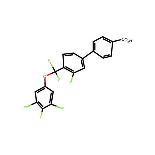 O=C(O)c1ccc(-c2ccc(C(F)(F)Oc3cc(F)c(F)c(F)c3)c(F)c2)cc1